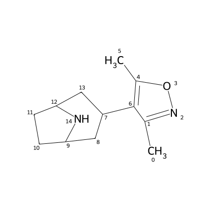 Cc1noc(C)c1C1CC2CCC(C1)N2